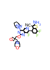 N#Cc1c(N)sc2c(F)c(F)cc(-c3ncc4c(N5CC6CCC(C5)N6)nc(OCC5(CN6C7CCC6COC7)COC5)nc4c3F)c12